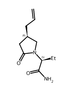 C=CC[C@@H]1CC(=O)N([C@@H](CC)C(N)=O)C1